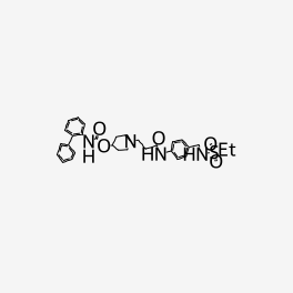 CCS(=O)(=O)NCc1ccc(NC(=O)CCN2CCC(OC(=O)Nc3ccccc3-c3ccccc3)CC2)cc1